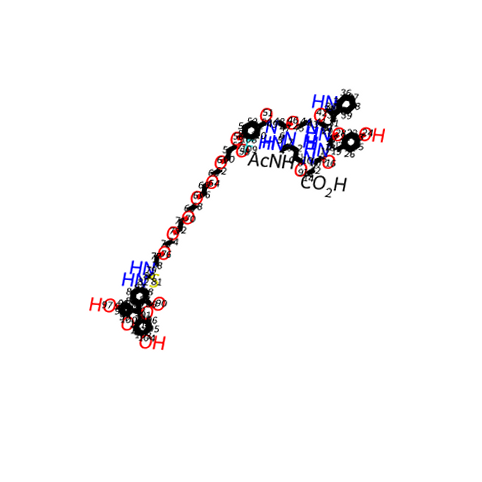 CC(=O)N[C@@H](Cc1c[nH]cn1)C(=O)N[C@@H](CCC(=O)O)C(=O)N[C@@H](Cc1ccc(O)cc1)C(=O)N[C@@H](Cc1c[nH]c2ccccc12)C(=O)NCCOCCNC(=O)c1ccc(OC(=O)CCOCCOCCOCCOCCOCCOCCNC(=S)Nc2ccc3c(c2)C(=O)OC32c3ccc(O)cc3Oc3cc(O)ccc32)c(F)c1